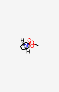 CCOC(=O)N1[C@@H]2CC[C@H]1CC(=O)C2